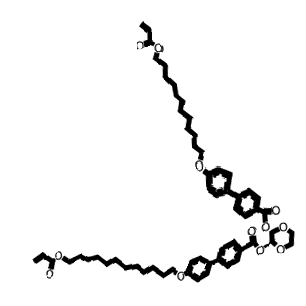 C=CC(=O)OCCCCCCCCCCCCOc1ccc(-c2ccc(C(=O)O[C@@H]3OCCO[C@H]3OC(=O)c3ccc(-c4ccc(OCCCCCCCCCCCCOC(=O)C=C)cc4)cc3)cc2)cc1